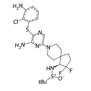 CC(C)(C)[S+]([O-])N[C@@H]1C(F)(F)CCC12CCN(c1cnc(Sc3cccc(N)c3Cl)c(N)n1)CC2